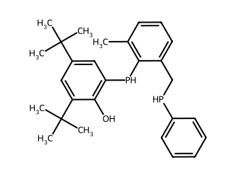 Cc1cccc(CPc2ccccc2)c1Pc1cc(C(C)(C)C)cc(C(C)(C)C)c1O